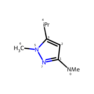 CNc1cc(C(C)C)n(C)n1